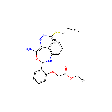 C=C(/N=N\C1=C(N)OC(c2ccccc2OCC(=O)OCC)Nc2ccccc21)SCCC